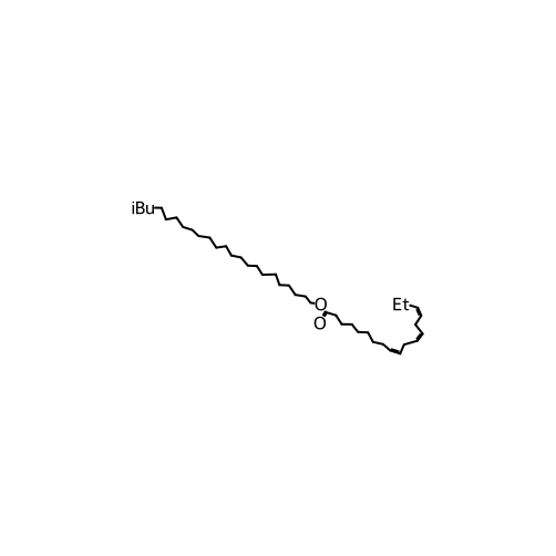 CC/C=C\C/C=C\C/C=C\CCCCCCCC(=O)OCCCCCCCCCCCCCCCCCCCCC(C)CC